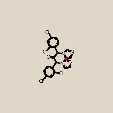 O=C(C(c1ccc(Cl)cc1Cl)n1ccnc1)C(c1ccc(Cl)cc1Cl)n1ccnc1